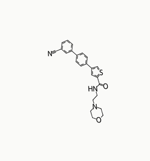 N#Cc1cccc(-c2ccc(-c3csc(C(=O)NCCN4CCOCC4)c3)cc2)c1